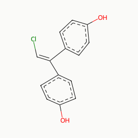 Oc1ccc(C(=CCl)c2ccc(O)cc2)cc1